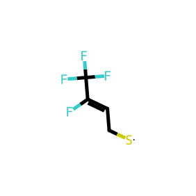 FC(=CC[S])C(F)(F)F